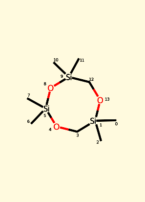 C[Si]1(C)CO[Si](C)(C)O[Si](C)(C)CO1